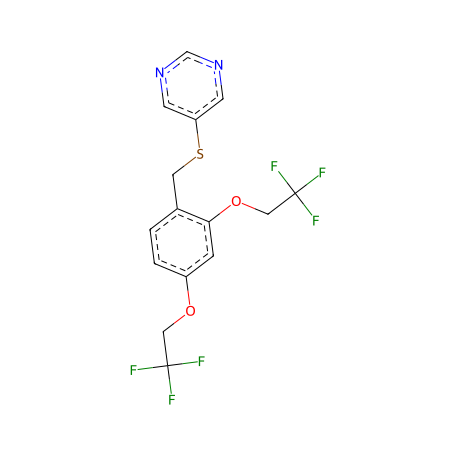 FC(F)(F)COc1ccc(CSc2cncnc2)c(OCC(F)(F)F)c1